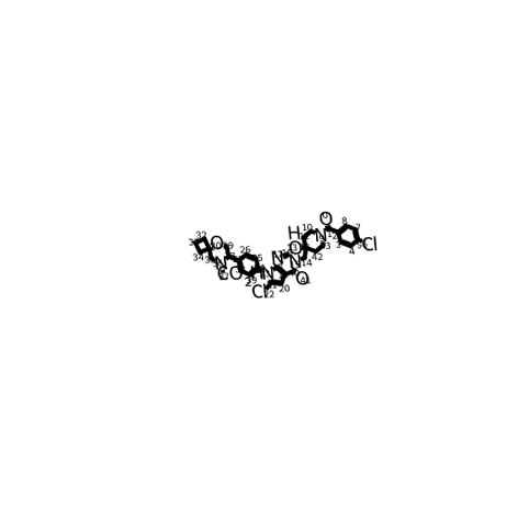 O=C(c1ccc(Cl)cc1)N1CCC(O)(Cn2cnc3c(cc(Cl)n3-c3ccc(C4COC5(CCC5)CN4C(=O)O)cc3)c2=O)CC1